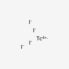 [I-].[I-].[I-].[I-].[Tc+4]